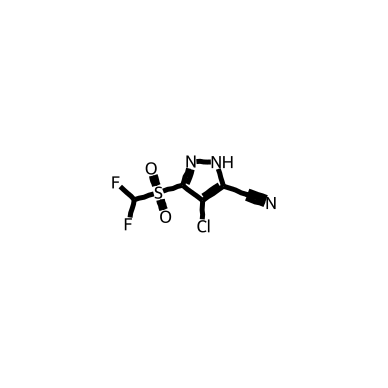 N#Cc1[nH]nc(S(=O)(=O)C(F)F)c1Cl